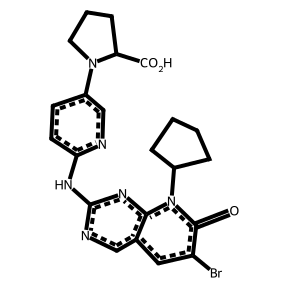 O=C(O)C1CCCN1c1ccc(Nc2ncc3cc(Br)c(=O)n(C4CCCC4)c3n2)nc1